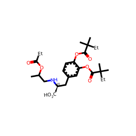 CCC(=O)OC(C)CN[C@@H](Cc1ccc(OC(=O)C(C)(C)CC)c(OC(=O)C(C)(C)CC)c1)C(=O)O